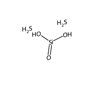 O=[Si](O)O.S.S